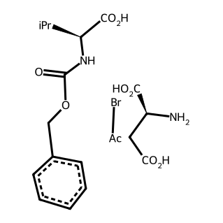 CC(=O)Br.CC(C)[C@H](NC(=O)OCc1ccccc1)C(=O)O.N[C@@H](CC(=O)O)C(=O)O